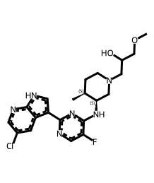 COCC(O)CN1CC[C@H](C)[C@H](Nc2nc(-c3c[nH]c4ncc(Cl)cc34)ncc2F)C1